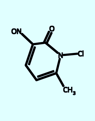 Cc1ccc(N=O)c(=O)n1Cl